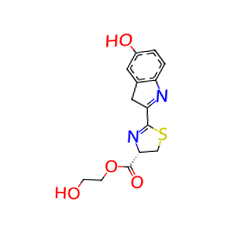 O=C(OCCO)[C@H]1CSC(C2=Nc3ccc(O)cc3C2)=N1